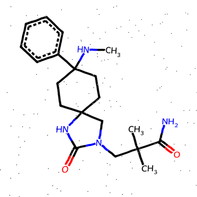 CNC1(c2ccccc2)CCC2(CC1)CN(CC(C)(C)C(N)=O)C(=O)N2